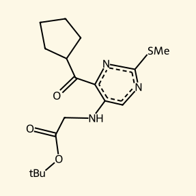 CSc1ncc(NCC(=O)OC(C)(C)C)c(C(=O)C2CCCC2)n1